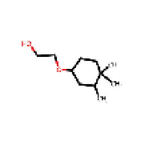 CC1CC(OCCO)CCC1(C)C